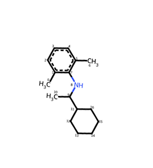 Cc1cccc(C)c1NC(C)C1CCCCC1